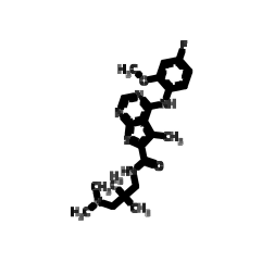 COc1cc(F)ccc1Nc1ncnc2sc(C(=O)NCC(C)(C)CN(C)C)c(C)c12